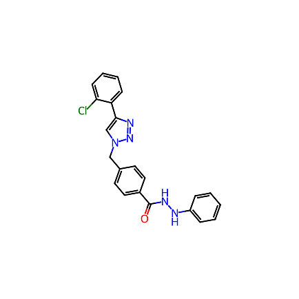 O=C(NNc1ccccc1)c1ccc(Cn2cc(-c3ccccc3Cl)nn2)cc1